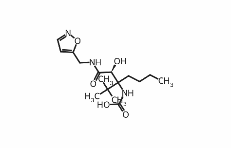 CCCCC(NC(=O)O)([C@H](O)C(=O)NCc1ccno1)C(C)(C)C